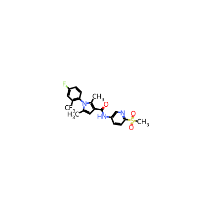 Cc1cc(C(=O)Nc2ccc(S(C)(=O)=O)nc2)c(C)n1-c1ccc(F)cc1C(F)(F)F